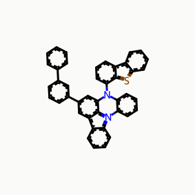 c1ccc(-c2cccc(-c3cc4c5c(c3)c3ccccc3n5-c3ccccc3N4c3cccc4c3sc3ccccc34)c2)cc1